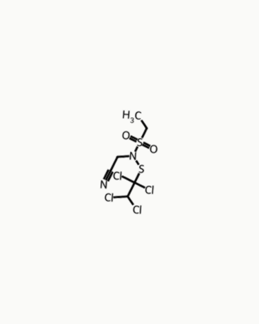 CCS(=O)(=O)N(CC#N)SC(Cl)(Cl)C(Cl)Cl